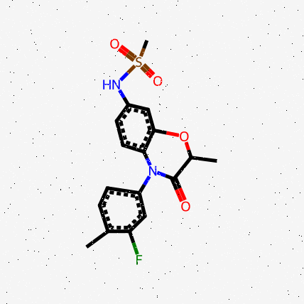 Cc1ccc(N2C(=O)C(C)Oc3cc(NS(C)(=O)=O)ccc32)cc1F